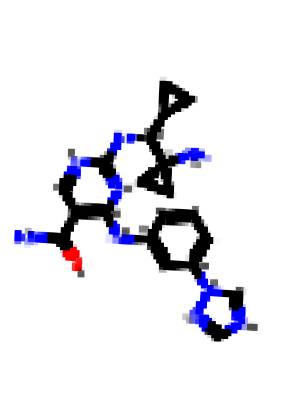 NC(=O)c1cnc(N[C@H](C2CC2)C2(N)CC2)nc1Nc1cccc(-n2cncn2)c1